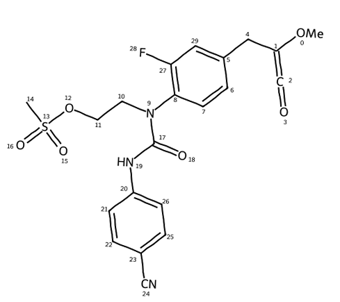 COC(=C=O)Cc1ccc(N(CCOS(C)(=O)=O)C(=O)Nc2ccc(C#N)cc2)c(F)c1